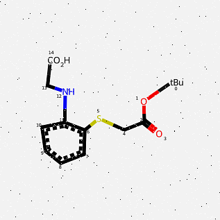 CC(C)(C)OC(=O)CSc1ccccc1NCC(=O)O